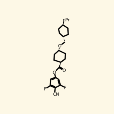 CCC[C@H]1CC[C@H](CO[C@H]2CC[C@H](C(=O)Oc3cc(F)c(C#N)c(F)c3)CC2)CC1